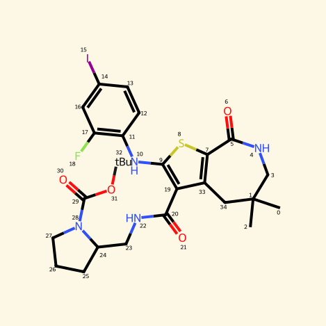 CC1(C)CNC(=O)c2sc(Nc3ccc(I)cc3F)c(C(=O)NCC3CCCN3C(=O)OC(C)(C)C)c2C1